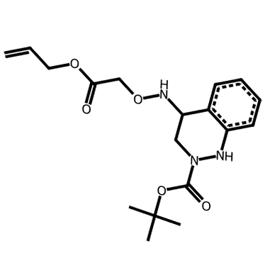 C=CCOC(=O)CONC1CN(C(=O)OC(C)(C)C)Nc2ccccc21